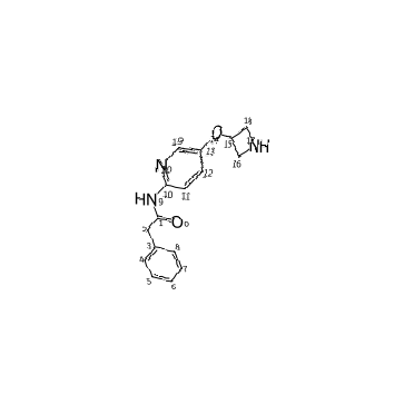 O=C(Cc1ccccc1)Nc1ccc(OC2CNC2)cn1